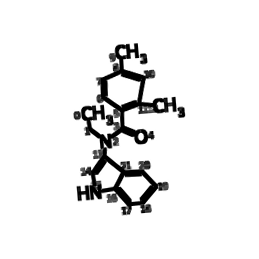 CCN(C(=O)c1ccc(C)cc1C)c1c[nH]c2ccccc12